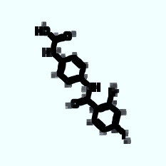 O=C(O)Nc1ccc(NC(=O)c2ccc(F)cc2Br)cc1